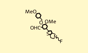 COc1ccc(COc2c(C=O)cc(-c3cc4c(s3)CCN(CCF)C4)cc2OC)cc1